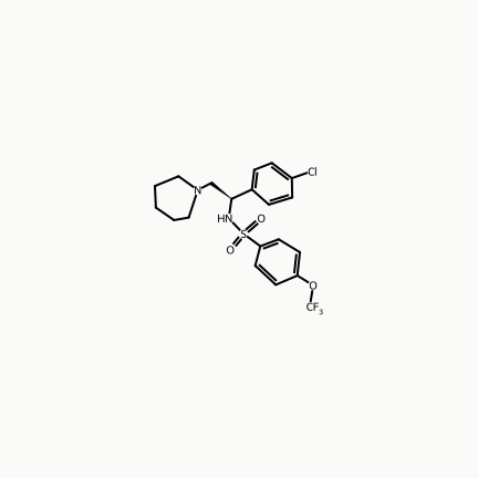 O=S(=O)(N[C@@H](CN1CCCCC1)c1ccc(Cl)cc1)c1ccc(OC(F)(F)F)cc1